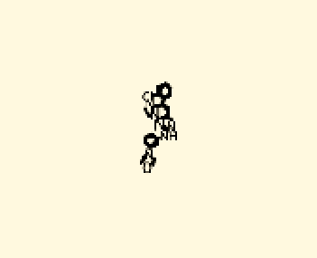 Clc1ccccc1C1=Cc2cnc(Nc3cccc(N4CCOCC4)c3)nc2N2CCN=C12